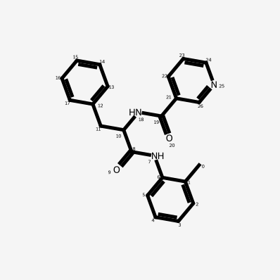 Cc1ccccc1NC(=O)C(Cc1ccccc1)NC(=O)c1cccnc1